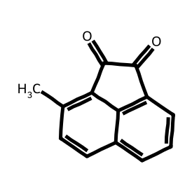 Cc1ccc2cccc3c2c1C(=O)C3=O